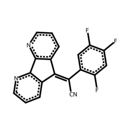 N#CC(=C1c2cccnc2-c2ncccc21)c1cc(F)c(F)cc1F